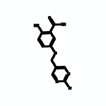 O=C(O)c1cc(OCc2cnc(Br)nc2)ccc1O